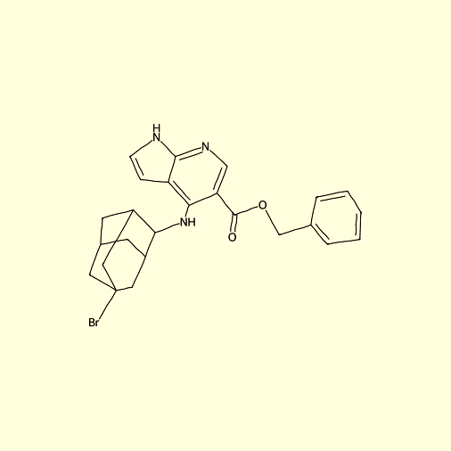 O=C(OCc1ccccc1)c1cnc2[nH]ccc2c1NC1C2CC3CC1CC(Br)(C3)C2